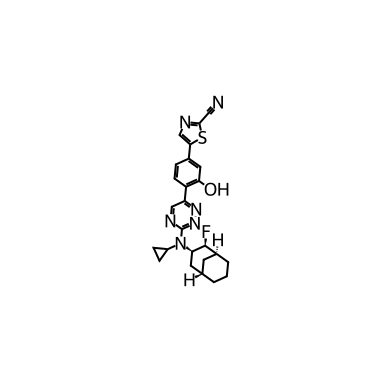 N#Cc1ncc(-c2ccc(-c3cnc(N(C4CC4)[C@@H]4C[C@H]5CCC[C@@H](C5)[C@@H]4F)nn3)c(O)c2)s1